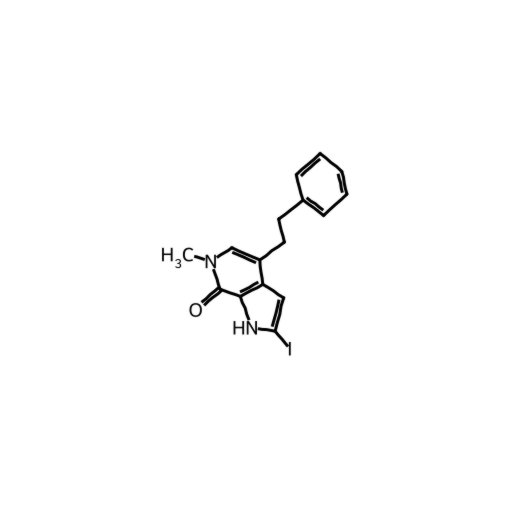 Cn1cc(CCc2ccccc2)c2cc(I)[nH]c2c1=O